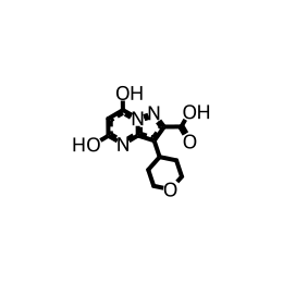 O=C(O)c1nn2c(O)cc(O)nc2c1C1CCOCC1